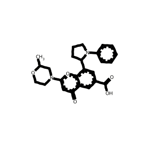 CC1CN(c2cc(=O)c3cc(C(=O)O)cc(C4CCCN4c4ccccc4)c3o2)CCO1